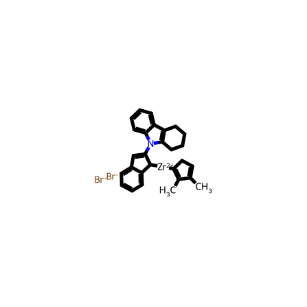 CC1=CC[C]([Zr+2][CH]2C(n3c4c(c5ccccc53)CCCC4)=Cc3ccccc32)=C1C.[Br-].[Br-]